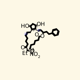 CCNC(=O)CCC/C=C\C[C@@H]1[C@@H](/C=C/C(CCc2ccccc2)OC(=O)CCCCCO[N+](=O)[O-])[C@H](O)C[C@@H]1O